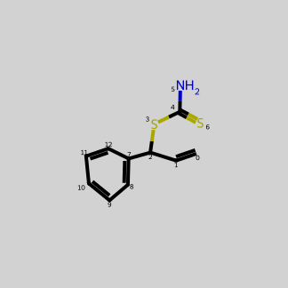 C=CC(SC(N)=S)c1ccccc1